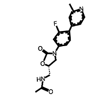 CC(=O)NC[C@H]1CN(c2ccc(-c3ccnc(C)c3)c(F)c2)C(=O)O1